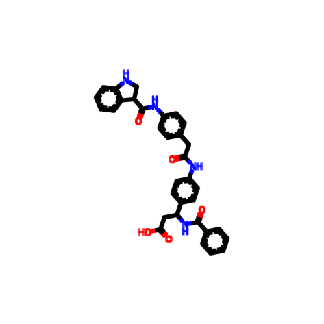 O=C(O)CC(NC(=O)c1ccccc1)c1ccc(NC(=O)Cc2ccc(NC(=O)C3CNc4ccccc43)cc2)cc1